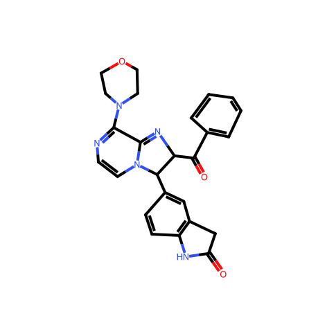 O=C1Cc2cc(C3C(C(=O)c4ccccc4)N=C4C(N5CCOCC5)=NC=CN43)ccc2N1